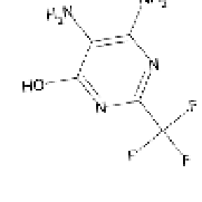 Nc1nc(C(F)(F)F)nc(O)c1N